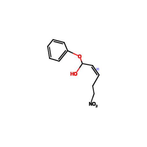 O=[N+]([O-])CC/C=C\C(O)Oc1ccccc1